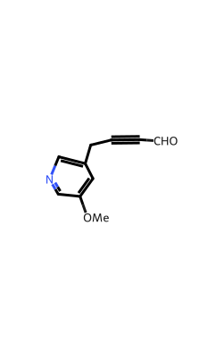 COc1cncc(CC#CC=O)c1